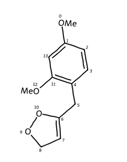 COc1ccc(CC2=CCOO2)c(OC)c1